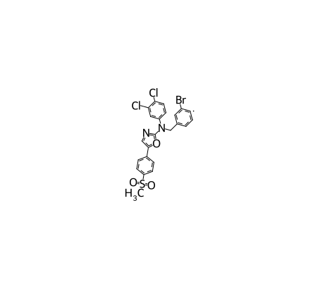 CS(=O)(=O)c1ccc(-c2cnc(N(Cc3cc[c]c(Br)c3)c3ccc(Cl)c(Cl)c3)o2)cc1